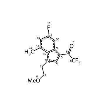 COCCn1cc(C(=O)C(F)(F)F)c2cc(F)cc(C)c21